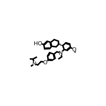 CCN(Cc1ccc(OCCN(C)C(C)C)cc1)C1C=C(OC)C=CC1[C@@H]1CCc2cc(O)ccc2C1